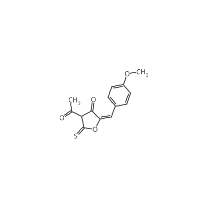 COc1ccc(/C=C2/OC(=S)C(C(C)=O)C2=O)cc1